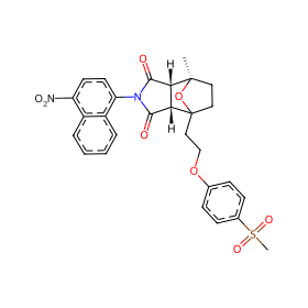 C[C@]12CCC(CCOc3ccc(S(C)(=O)=O)cc3)(O1)[C@@H]1C(=O)N(c3ccc([N+](=O)[O-])c4ccccc34)C(=O)[C@@H]12